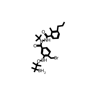 BC(C)(C)C(C)(C)OBc1cc(C(=O)N(NC(=O)c2cccc(CCC)c2C)C(C)(C)C)ccc1CBr